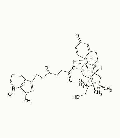 C[C@@H]1C[C@H]2[C@@H]3CCC4=CC(=O)C=C[C@]4(C)[C@@]3(F)[C@@H](OC(=O)CCC(=O)OCc3cn(C)c4c3ccc[n+]4[O-])C[C@]2(C)[C@@]1(C)C(=O)CO